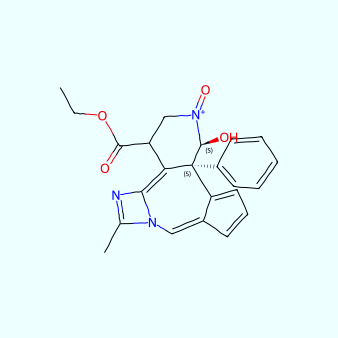 CCOC(=O)C1C[N+](=O)[C@@H](O)[C@@]2(c3ccccc3)C3=CC=CC3=CN3C(C)=NC3=C12